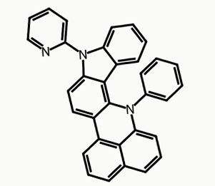 c1ccc(N2c3cccc4cccc(c34)-c3ccc4c(c32)c2ccccc2n4-c2ccccn2)cc1